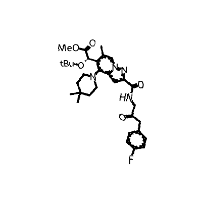 COC(=O)[C@@H](OC(C)(C)C)c1c(C)cn2nc(C(=O)NCC(=O)Cc3ccc(F)cc3)cc2c1N1CCC(C)(C)CC1